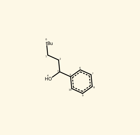 CC(C)(C)CCC(O)c1ccccc1